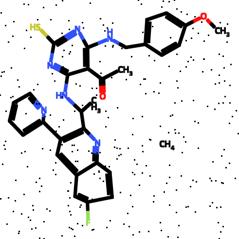 C.COc1ccc(CNc2nc(S)nc(NC(C)c3nc4ccc(F)cc4cc3-c3ccccn3)c2C(C)=O)cc1